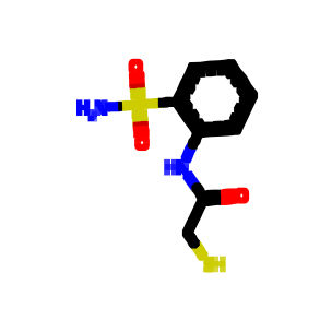 NS(=O)(=O)c1ccccc1NC(=O)CS